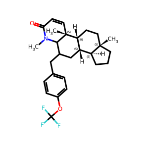 CN1C(=O)C=C[C@@]2(C)C1C(Cc1ccc(OC(F)(F)F)cc1)C[C@@H]1[C@H]2CC[C@]2(C)CCC[C@@H]12